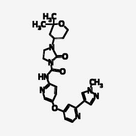 Cn1cc(-c2cc(Oc3ccc(NC(=O)N4CCN(C5CCOC(C)(C)C5)C4=O)nc3)ccn2)cn1